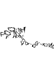 COCCCOc1cccc(COc2ccc(CN(C(=O)C3CNCCC3NC(=O)c3ccc(F)c(F)c3)C3CC3)c3ccccc23)c1